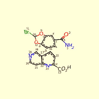 NC(=O)c1ccc2c(c1)OC(Br)O2.O=C(O)c1ccc2cnccc2n1